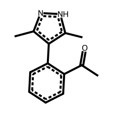 CC(=O)c1ccccc1-c1c(C)n[nH]c1C